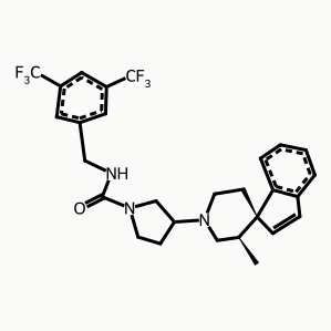 C[C@H]1CN(C2CCN(C(=O)NCc3cc(C(F)(F)F)cc(C(F)(F)F)c3)C2)CC[C@@]12C=Cc1ccccc12